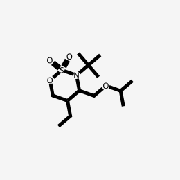 CCC1COS(=O)(=O)N(C(C)(C)C)C1COC(C)C